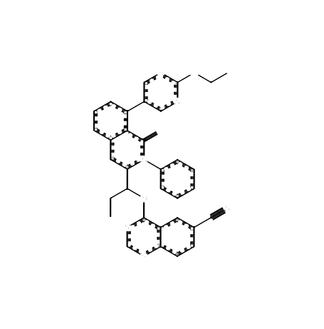 CCOc1ncc(-c2cccc3cc(C(CC)Nc4ncnc5ccc(C#N)cc45)n(-c4ccccc4)c(=O)c23)cn1